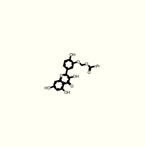 CCCC(=O)OCOc1cc(-c2oc3cc(O)cc(O)c3c(=O)c2O)ccc1O